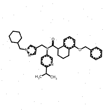 CC(C)c1ccc(N(Cc2cnn(CC3CCCCC3)c2)C(=O)C2CCCc3c(OCc4ccccc4)cccc32)cn1